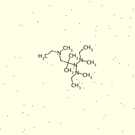 CCN(C)CC(C)(C)N(N(C)CC)N(C)CC